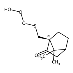 CC1(C)C2CC[C@@]1(CSOOO)C(=O)C2